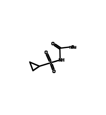 CCCCC(=O)NS(=O)(=O)C1CC1